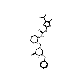 CC(=O)c1sc(NC(=O)N[C@@H]2CCCC[C@H]2CN2CC(=O)N[C@@H](Cc3ccccc3)C2)nc1C